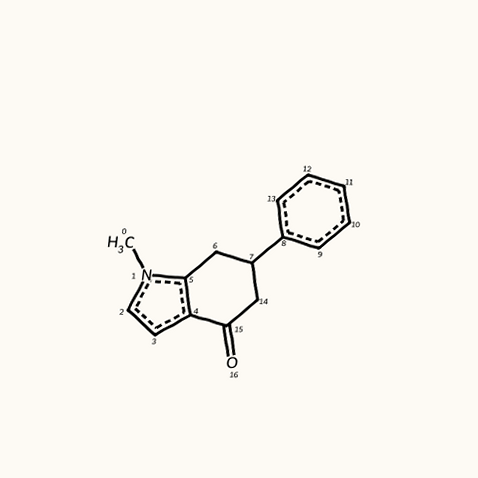 Cn1ccc2c1CC(c1ccccc1)CC2=O